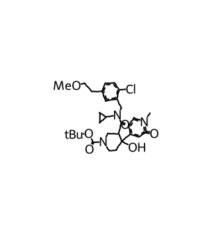 COCCc1ccc(Cl)c(CN(C(=O)C2CN(C(=O)OC(C)(C)C)CCC2(O)c2ccn(C)c(=O)c2)C2CC2)c1